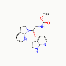 CC(C)(C)OC(=O)NCC(=O)N1CCc2cccnc21.c1cnc2c(c1)CCN2